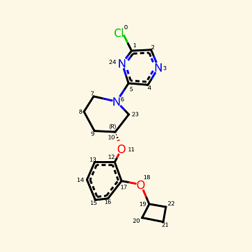 Clc1cncc(N2CCC[C@@H](Oc3ccccc3OC3CCC3)C2)n1